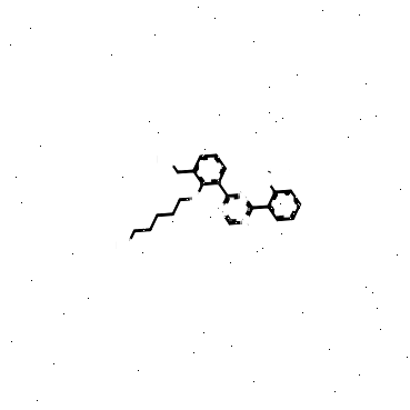 CCCCCCOc1c(CC)cccc1-c1ncnc(-c2ccccc2OC)n1